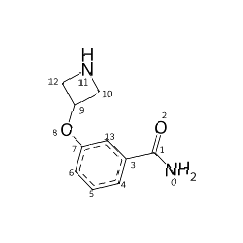 NC(=O)c1cccc(OC2CNC2)c1